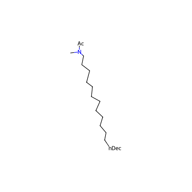 [CH2]C(=O)N(C)CCCCCCCCCCCCCCCCCCCCCC